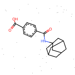 O=C(O)c1ccc(C(=O)NC23CC4CC(CC(C4)C2)C3)cc1